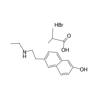 Br.CC(C)C(=O)O.CCNCCc1ccc2cc(O)ccc2c1